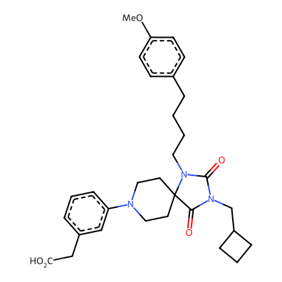 COc1ccc(CCCCN2C(=O)N(CC3CCC3)C(=O)C23CCN(c2cccc(CC(=O)O)c2)CC3)cc1